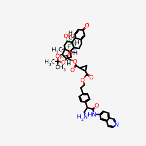 CC1(C)O[C@@H]2C[C@H]3[C@@H]4CCC5=CC(=O)C=C[C@]5(C)[C@@]4(F)[C@@H](O)C[C@]3(C)[C@]2(C(=O)COC(=O)C2CC2C(=O)OCCc2ccc(C(CN)C(=O)Nc3ccc4cnccc4c3)cc2)O1